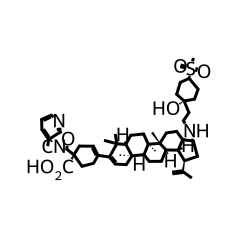 C=C(C)[C@@H]1CC[C@]2(NCC[C@]3(O)CC[C@H](S(C)(=O)=O)CC3)CC[C@]3(C)[C@H](CC[C@@H]4[C@@]5(C)CC=C(C6=CC[C@](COc7ncccc7C#N)(C(=O)O)CC6)C(C)(C)[C@@H]5CC[C@]43C)[C@@H]12